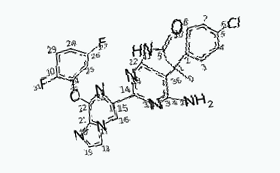 CC1(c2ccc(Cl)cc2)C(=O)Nc2nc(-c3cn4ccnc4c(Oc4cc(F)ccc4F)n3)nc(N)c21